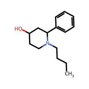 CCCCN1CCC(O)CC1c1ccccc1